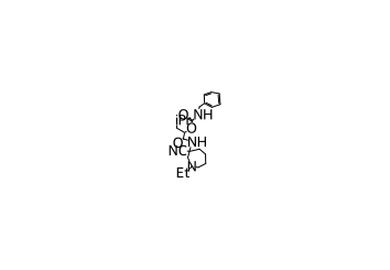 CCN1CCCCC(C#N)(NC(=O)C(CC(C)C)OC(=O)NCc2ccccc2)C1